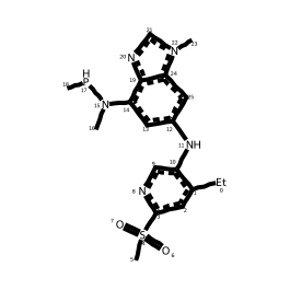 CCc1cc(S(C)(=O)=O)ncc1Nc1cc(N(C)PC)c2ncn(C)c2c1